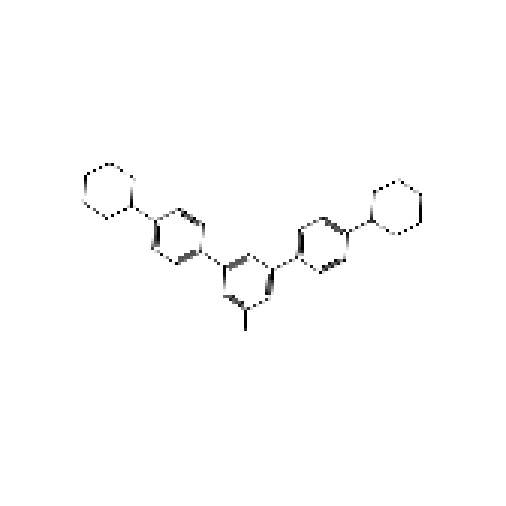 Clc1cc(-c2ccc(C3CCCCC3)cc2)cc(-c2ccc(C3CCCCC3)cc2)c1